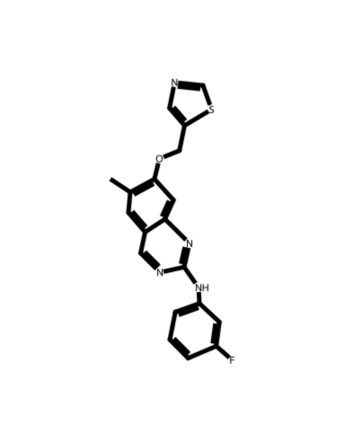 Cc1cc2cnc(Nc3cccc(F)c3)nc2cc1OCc1cncs1